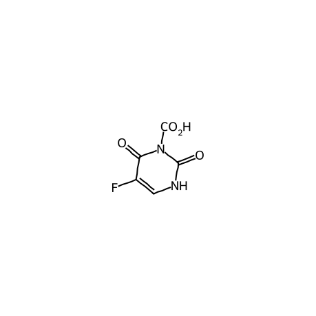 O=C(O)n1c(=O)[nH]cc(F)c1=O